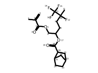 C=C(C)C(=O)OCC(CCC(C)(F)C(F)(F)F)OC(=O)C1CC2CCC1C2